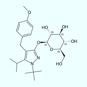 COc1ccc(Cc2c(O[C@@H]3O[C@H](CO)[C@@H](O)[C@H](O)[C@H]3O)nn(C(C)(C)C)c2C(C)C)cc1